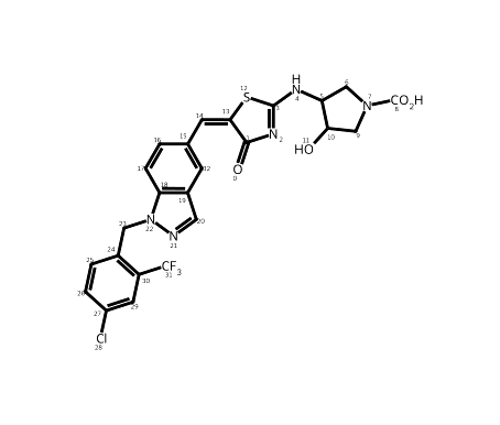 O=C1N=C(NC2CN(C(=O)O)CC2O)SC1=Cc1ccc2c(cnn2Cc2ccc(Cl)cc2C(F)(F)F)c1